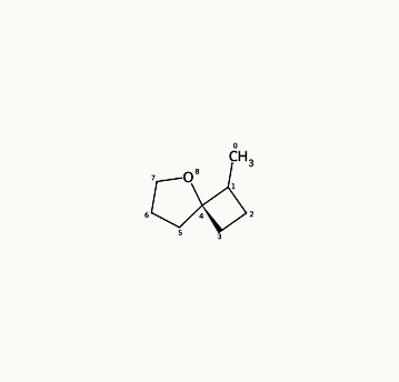 CC1CC[C@]12CCCO2